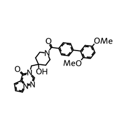 COc1ccc(OC)c(-c2ccc(C(=O)N3CCC(O)(Cn4cnn5cccc5c4=O)CC3)cc2)c1